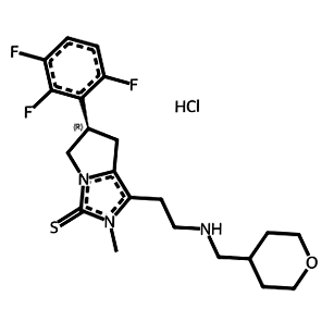 Cl.Cn1c(CCNCC2CCOCC2)c2n(c1=S)C[C@@H](c1c(F)ccc(F)c1F)C2